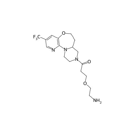 NCCOCCC(=O)N1CCN2c3ncc(C(F)(F)F)cc3OCCC2C1